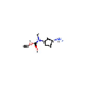 CN(C(=O)OC(C)(C)C)C1CC[C@H](N)C1